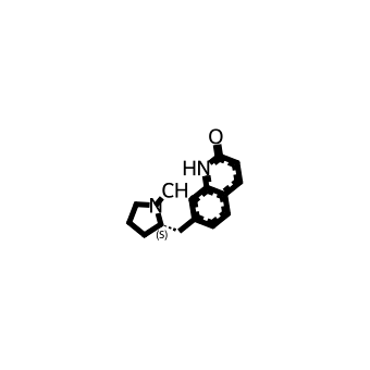 CN1CCC[C@H]1Cc1ccc2ccc(=O)[nH]c2c1